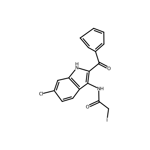 O=C(CI)Nc1c(C(=O)c2ccccc2)[nH]c2cc(Cl)ccc12